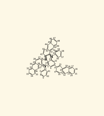 c1ccc(N2c3cc(-c4ccc5cc6ccccc6cc5c4)cc4c3B(c3ccc5cc6ccccc6cc5c32)c2ccc3cc5ccccc5cc3c2N4c2ccccc2)cc1